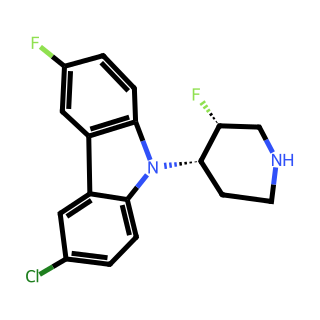 Fc1ccc2c(c1)c1cc(Cl)ccc1n2[C@H]1CCNC[C@H]1F